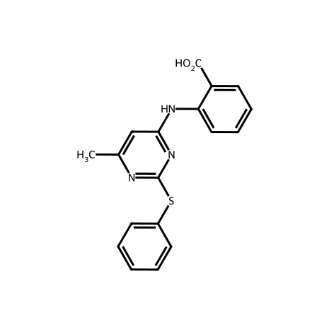 Cc1cc(Nc2ccccc2C(=O)O)nc(Sc2ccccc2)n1